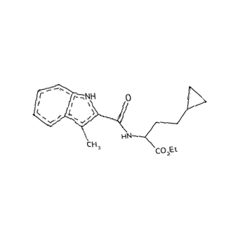 CCOC(=O)C(CCC1CC1)NC(=O)c1[nH]c2ccccc2c1C